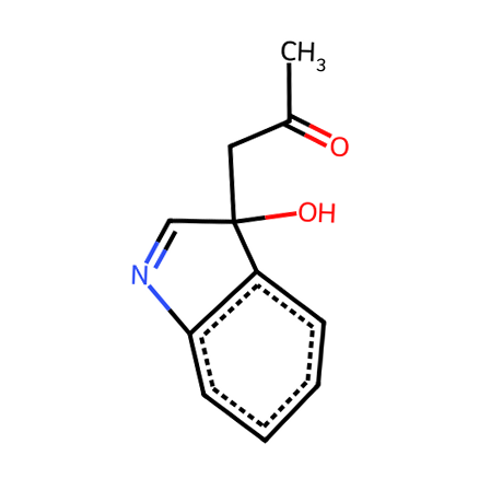 CC(=O)CC1(O)C=Nc2ccccc21